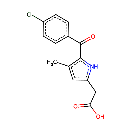 Cc1cc(CC(=O)O)[nH]c1C(=O)c1ccc(Cl)cc1